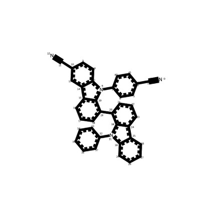 N#Cc1ccc(-n2c3ccc(C#N)cc3c3cccc(-c4cccc5c6ccccc6n(-c6ccccc6)c45)c32)cc1